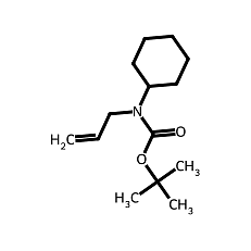 C=CCN(C(=O)OC(C)(C)C)C1CCCCC1